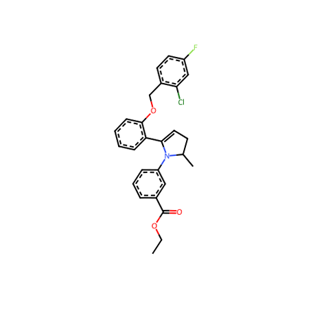 CCOC(=O)c1cccc(N2C(c3ccccc3OCc3ccc(F)cc3Cl)=CCC2C)c1